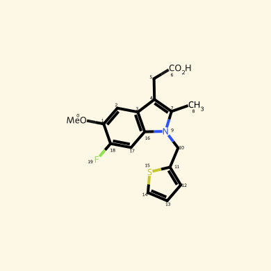 COc1cc2c(CC(=O)O)c(C)n(Cc3cccs3)c2cc1F